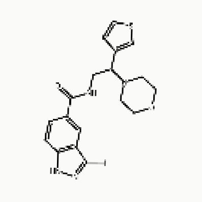 O=C(NCC(c1ccsc1)N1CCOCC1)c1ccc2[nH]nc(I)c2c1